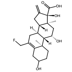 C=C1C[C@H]2[C@@H]3CC(CF)=C4CC(O)CC[C@]4(C)[C@H]3[C@@H](O)C[C@]2(C)[C@@]1(O)C(=O)O